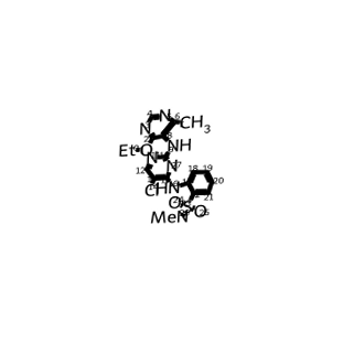 CCOc1ncnc(C)c1Nc1ncc(Cl)c(Nc2ccccc2S(=O)(=O)NC)n1